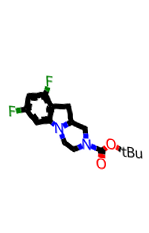 CC(C)(C)OC(=O)N1CCN2c3cc(F)cc(F)c3CC2C1